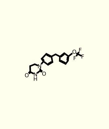 O=C1CCN(c2ccc(Cc3cccc(OC(F)(F)F)c3)cc2)C(=O)N1